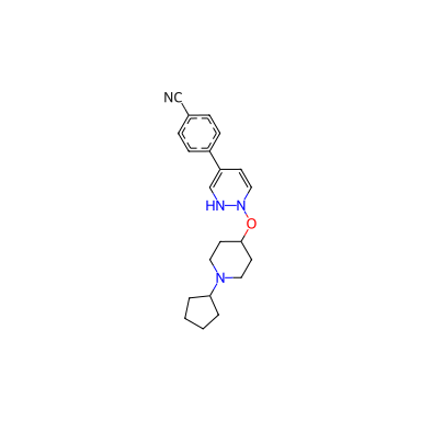 N#Cc1ccc(C2=CNN(OC3CCN(C4CCCC4)CC3)C=C2)cc1